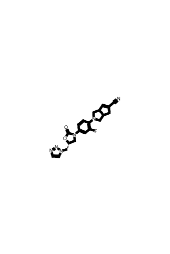 N#CC1=CC2CN(c3ccc(N4C[C@H](Cn5ccnn5)OC4=O)cc3F)CC2C1